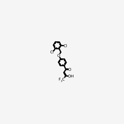 O=C(C=C(O)C(F)(F)F)c1ccc(OCc2c(Cl)cccc2Cl)cc1